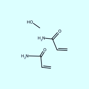 C=CC(N)=O.C=CC(N)=O.CO